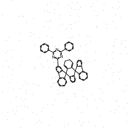 C1=C2C(=CCC1)C1(c3ccccc3-c3ccc(-c4nc(-c5ccccc5)nc(-c5ccccc5)n4)cc31)c1ccccc1C21c2ccccc2-c2ccccc21